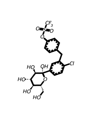 O=S(=O)(Oc1ccc(Cc2cc([C@@]3(O)O[C@H](CO)[C@@H](O)[C@H](O)[C@H]3O)ccc2Cl)cc1)C(F)(F)F